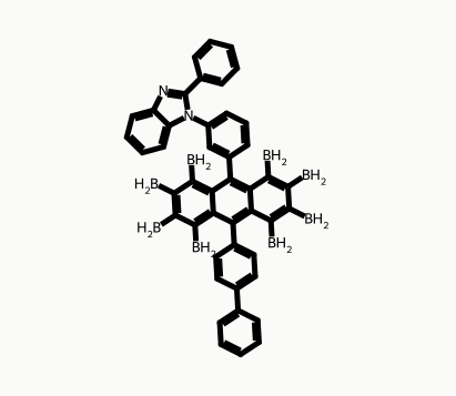 Bc1c(B)c(B)c2c(-c3cccc(-n4c(-c5ccccc5)nc5ccccc54)c3)c3c(B)c(B)c(B)c(B)c3c(-c3ccc(-c4ccccc4)cc3)c2c1B